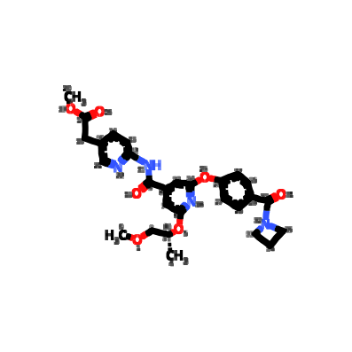 COC[C@@H](C)Oc1cc(C(=O)Nc2ccc(CC(=O)OC)cn2)cc(Oc2ccc(C(=O)N3CCC3)cc2)n1